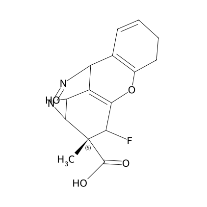 C[C@]1(C(=O)O)C(F)C2=C3C(N=NC1C3O)C1=C(CCC=C1)O2